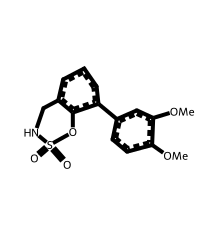 COc1ccc(-c2cccc3c2OS(=O)(=O)NC3)cc1OC